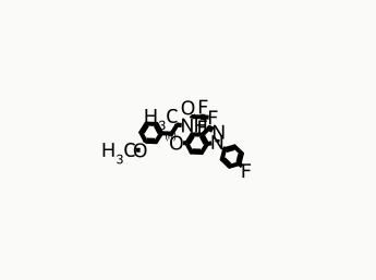 COc1cccc([C@@H](Oc2ccc3c(cnn3-c3ccc(F)cc3)c2)C(C)NC(=O)C(F)(F)F)c1